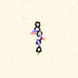 O=C(c1cn(-c2ccc(F)cc2)cn1)N1CC[C@]2(Cc3ccccc3CN2)[C@H](O)C1